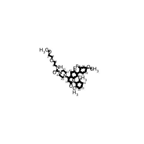 COCCOCCNC(=O)N1CCN(c2cc(=O)n(-c3c(C)cccc3C)c3cc(-c4ccc(OC)cc4F)c(F)cc23)CC1